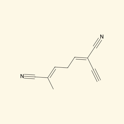 C#C/C(C#N)=C\C/C=C(\C)C#N